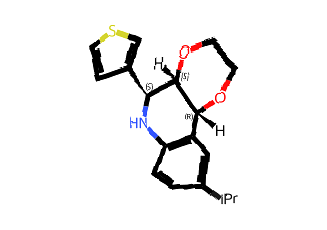 CC(C)c1ccc2c(c1)[C@H]1OCCO[C@H]1[C@H](c1ccsc1)N2